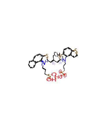 CCC(/C=C1\Sc2ccc3sccc3c2N1CCCS(=O)(=O)O)=C\c1sc2ccc3ccccc3c2[n+]1CCCS(=O)O